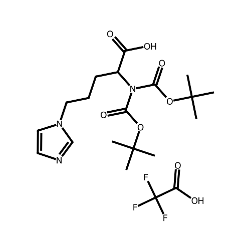 CC(C)(C)OC(=O)N(C(=O)OC(C)(C)C)C(CCCn1ccnc1)C(=O)O.O=C(O)C(F)(F)F